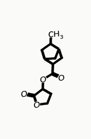 CC1CC2CC1CC2C(=O)OC1CCOC1=O